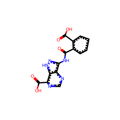 O=C(O)c1ccccc1C(=O)Nc1n[nH]c2c(C(=O)O)ncnc12